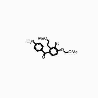 CCc1c(OCOC)ccc(C(=O)c2ccc([N+](=O)[O-])cc2)c1CCOC